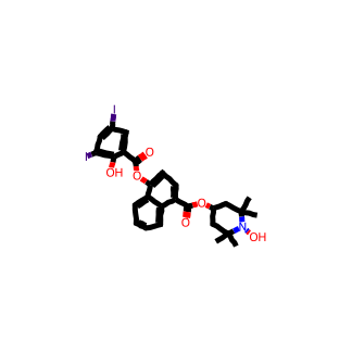 CC1(C)CC(OC(=O)c2ccc(OC(=O)c3cc(I)cc(I)c3O)c3ccccc23)CC(C)(C)N1O